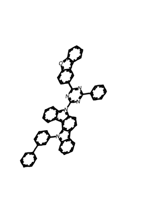 c1ccc(-c2cccc(-n3c4ccccc4c4ccc5c(c6ccccc6n5-c5nc(-c6ccccc6)nc(-c6ccc7oc8ccccc8c7c6)n5)c43)c2)cc1